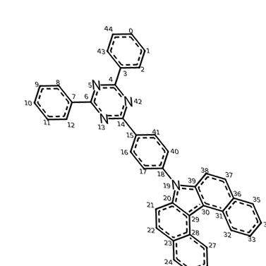 c1ccc(-c2nc(-c3ccccc3)nc(-c3ccc(-n4c5ccc6ccccc6c5c5c6ccccc6ccc54)cc3)n2)cc1